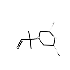 C[C@@H]1CN(C(C)(C)C=O)C[C@H](C)O1